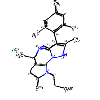 COCCN1C2=C(CC1C)C(C)N=C1C(c3c(C)cc(C)cc3C)=C(C)NN12.Cl